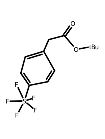 CC(C)(C)OC(=O)Cc1ccc(S(F)(F)(F)(F)F)cc1